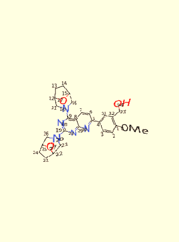 COc1ccc(-c2ccc3c(N4CC5CCC(C4)O5)nc(N4CC5CCC(C4)O5)nc3n2)cc1CO